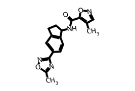 Cc1nc(-c2ccc3c(c2)CCC3NC(=O)c2oncc2C)no1